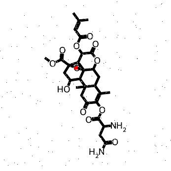 COC(=O)C12CC(O)C3C4(C)CC(=O)C(OC(=O)C(N)CC(N)=O)=C(C)C4CC4OC(=O)C(OC(=O)C=C(C)C)C1C43CO2